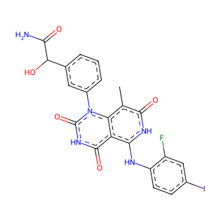 Cc1c(=O)[nH]c(Nc2ccc(I)cc2F)c2c(=O)[nH]c(=O)n(-c3cccc(C(O)C(N)=O)c3)c12